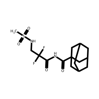 CS(=O)(=O)NCC(F)(F)C(=O)NC(=O)C12CC3CC(CC(C3)C1)C2